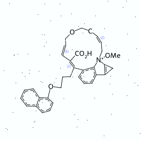 CO[N+]12C/C=C\CCOC/C=C/C(C(=O)O)=C(\CCCOc3cccc4ccccc34)c3cccc(c31)C1=C2C1